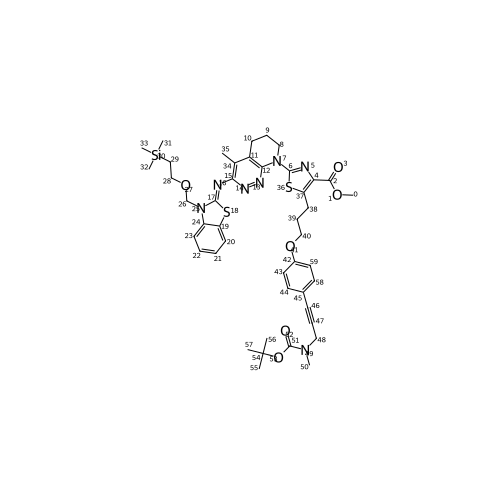 COC(=O)c1nc(N2CCCc3c2nnc(/N=c2\sc4ccccc4n2COCC[Si](C)(C)C)c3C)sc1CCCOc1ccc(C#CCN(C)C(=O)OC(C)(C)C)cc1